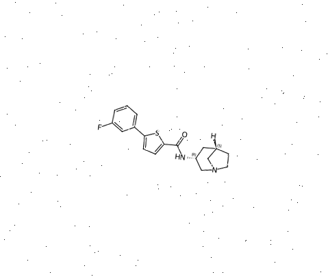 O=C(N[C@@H]1C[C@@H]2CCN(C2)C1)c1ccc(-c2cccc(F)c2)s1